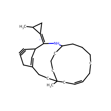 CC1C/C1=C1\NC2CCCCCC=CCC(C)(CCC2)CCC2=CC1C#CC2